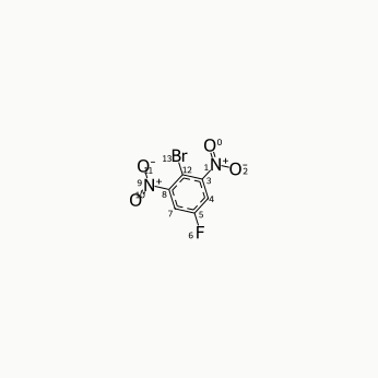 O=[N+]([O-])c1cc(F)cc([N+](=O)[O-])c1Br